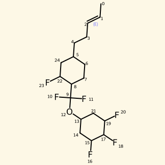 C/C=C/CCC1CCC(C(F)(F)OC2CC(F)C(F)C(F)C2)C(F)C1